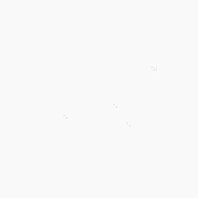 CCCN1CCC(c2cn3cccc(OC(N)=O)c3n2)CC1